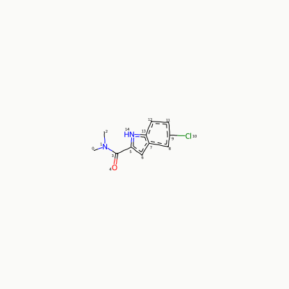 CN(C)C(=O)c1cc2cc(Cl)ccc2[nH]1